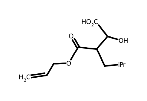 C=CCOC(=O)C(CC(C)C)C(O)C(=O)O